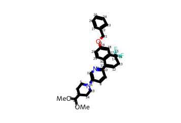 COC(OC)C1CCN(c2ccc(C3=CCC(F)(F)c4cc(OCc5ccccc5)ccc43)nc2)CC1